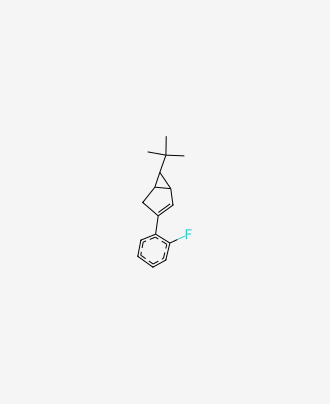 CC(C)(C)C1C2C=C(c3ccccc3F)CC21